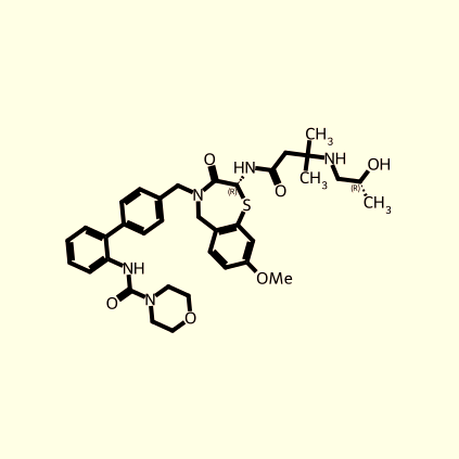 COc1ccc2c(c1)S[C@@H](NC(=O)CC(C)(C)NC[C@@H](C)O)C(=O)N(Cc1ccc(-c3ccccc3NC(=O)N3CCOCC3)cc1)C2